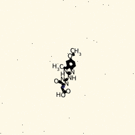 CCOc1ccc2nc(NC3=N/C(=C\C(=O)O)C(=O)N3)nc(C)c2c1